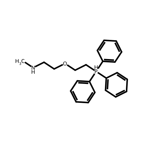 CNCCOCC[PH](c1ccccc1)(c1ccccc1)c1ccccc1